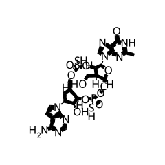 Cc1nc2c(ncn2[C@@H]2O[C@@H]3CO[P@](=O)(S)O[C@@H]4[C@@H](CO[P@](=O)(S)O[C@@H]2[C@@H]3CO)C[C@@H](n2ccc3c(N)ncnc32)[C@@H]4O)c(=O)[nH]1